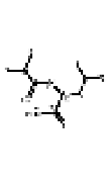 CC(C)C[C@H](NC(=O)C(C)C)C(N)=O